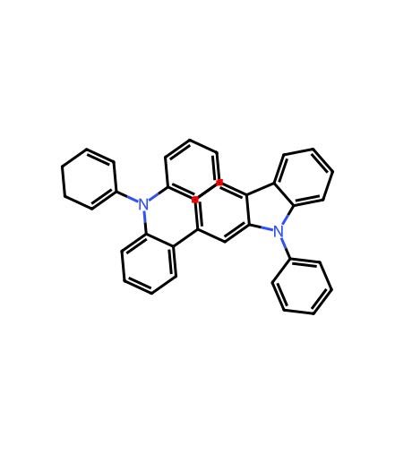 C1=CC(N(c2ccccc2)c2ccccc2-c2ccc3c4ccccc4n(-c4ccccc4)c3c2)=CCC1